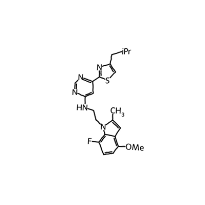 COc1ccc(F)c2c1cc(C)n2CCNc1cc(-c2nc(CC(C)C)cs2)ncn1